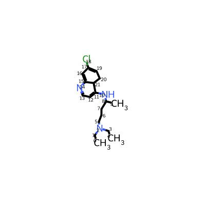 CCN(CC)CCCC(C)NC1=CC=NC2=CC(Cl)=CCC21